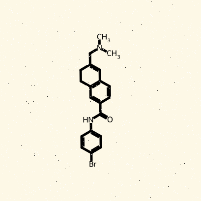 CN(C)CC1=Cc2ccc(C(=O)Nc3ccc(Br)cc3)cc2CC1